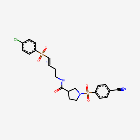 N#Cc1ccc(S(=O)(=O)N2CCC(C(=O)NCC/C=C/S(=O)(=O)c3ccc(Cl)cc3)C2)cc1